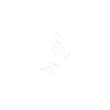 CC(C)(C)OC(=O)NCCCOc1cccc([C@@H](C(=O)OCc2ccccc2)N2Cc3ccccc3C2)c1